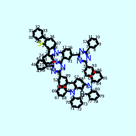 c1ccc(-c2nc(-c3ccccc3)nc(-c3ccc(-n4c5ccccc5c5c6sc7ccccc7c6ccc54)c(-c4nc(-c5ccccc5)nc(-c5cccc(-c6ccc7c8c6N(c6ccccc6)c6ccccc6B8c6ccccc6N7c6ccccc6)c5)n4)c3)n2)cc1